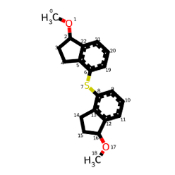 COC1CCc2c(Sc3cccc4c3CCC4OC)cccc21